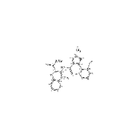 CNC(=O)c1nc2ccccc2c(C)c1NC(=O)c1cc(C(F)(F)F)nn1-c1ncccc1Cl